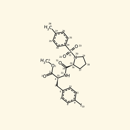 COC(=O)[C@H](Cc1ccc(I)cc1)NC(=O)[C@@H]1CCCN1S(=O)(=O)c1ccc(C)cc1